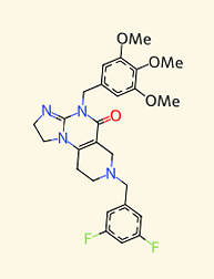 COc1cc(CN2C(=O)C3=C(CCN(Cc4cc(F)cc(F)c4)C3)N3CCN=C23)cc(OC)c1OC